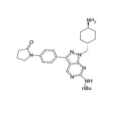 CCCCNc1ncc2c(-c3ccc(N4CCCC4=O)cc3)nn(C[C@H]3CC[C@H](N)CC3)c2n1